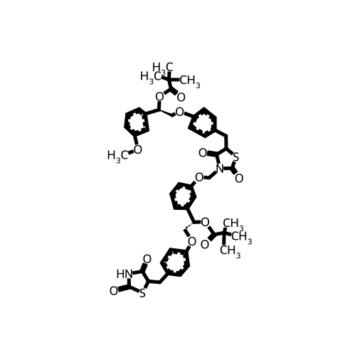 COc1cccc([C@H](COc2ccc(CC3SC(=O)N(COc4cccc([C@@H](COc5ccc(CC6SC(=O)NC6=O)cc5)OC(=O)C(C)(C)C)c4)C3=O)cc2)OC(=O)C(C)(C)C)c1